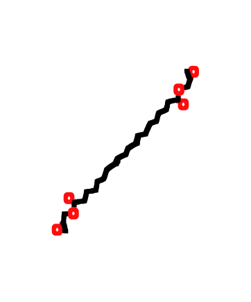 O=C(CCCCCC/C=C/CC/C=C/CCCCCCC(=O)OCC1CO1)OCC1CO1